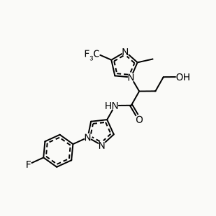 Cc1nc(C(F)(F)F)cn1C(CCO)C(=O)Nc1cnn(-c2ccc(F)cc2)c1